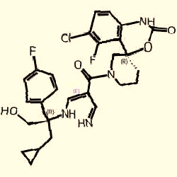 N=C/C(=C\N[C@](CO)(CC1CC1)c1ccc(F)cc1)C(=O)N1CCC[C@@]2(C1)OC(=O)Nc1ccc(Cl)c(F)c12